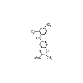 COC(=O)C(C)Oc1ccc(Nc2ccc([N+](=O)[O-])cc2[N+](=O)[O-])cc1